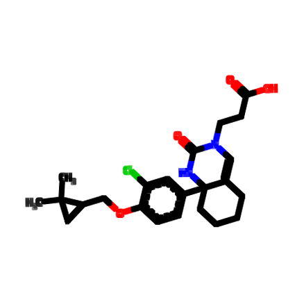 CC1(C)CC1COc1ccc(C23CCCCC2=CN(CCC(=O)O)C(=O)N3)cc1Cl